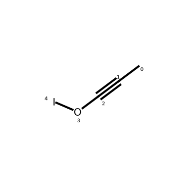 CC#COI